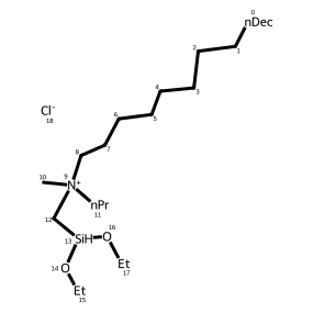 CCCCCCCCCCCCCCCCCC[N+](C)(CCC)C[SiH](OCC)OCC.[Cl-]